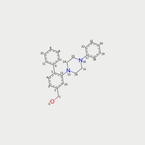 [O]Cc1ccc(-c2ccccc2)c(N2CCN(c3ccccc3)CC2)c1